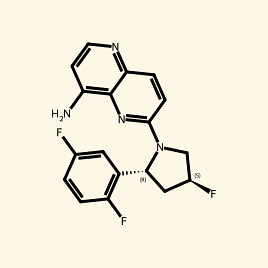 Nc1ccnc2ccc(N3C[C@@H](F)C[C@@H]3c3cc(F)ccc3F)nc12